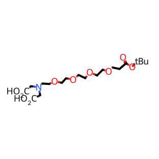 CC(C)(C)OC(=O)CCOCCOCCOCCOCCN(CC(=O)O)CC(=O)O